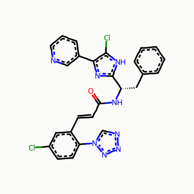 O=C(/C=C/c1cc(Cl)ccc1-n1cnnn1)N[C@@H](Cc1ccccc1)c1nc(-c2cccnc2)c(Cl)[nH]1